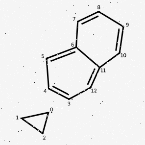 [CH]1CC1.[c]1ccc2ccccc2c1